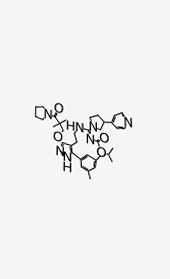 Cc1cc(C)cc(-c2[nH]nc(OCC(C)(C)C(=O)N3CCCC3)c2CCN/C(=N/C(=O)OC(C)C)N2CCC(c3ccncc3)C2)c1